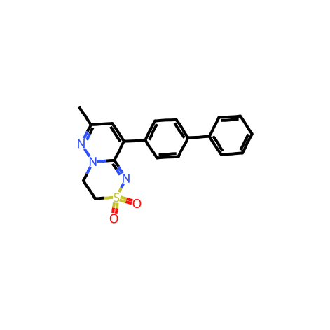 CC1=NN2CCS(=O)(=O)N=C2C(c2ccc(-c3ccccc3)cc2)=C1